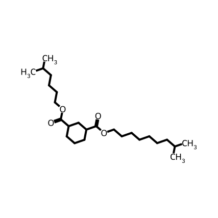 CC(C)CCCCCCCOC(=O)C1CCCC(C(=O)OCCCCC(C)C)C1